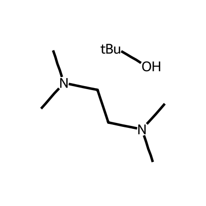 CC(C)(C)O.CN(C)CCN(C)C